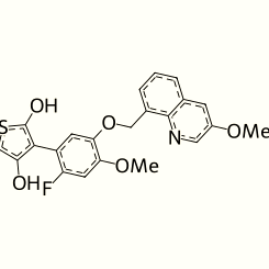 COc1cnc2c(COc3cc(-c4c(O)csc4O)c(F)cc3OC)cccc2c1